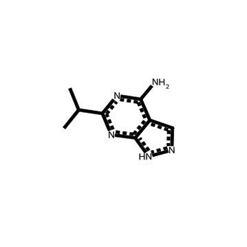 CC(C)c1nc(N)c2cn[nH]c2n1